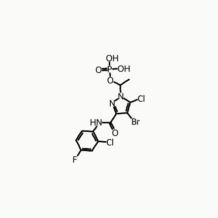 CC(OP(=O)(O)O)n1nc(C(=O)Nc2ccc(F)cc2Cl)c(Br)c1Cl